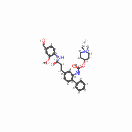 COc1cc(C=O)ccc1NC(=O)CCc1ccc(-c2ccccc2)c(NC(=O)OC2CC[N+](C)(C)CC2)c1.[I-]